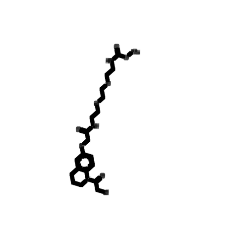 CC(C)(C)OC(=O)NCCOCCOCCNC(=O)COc1ccc2c(c1)CCCN2C(=O)CCl